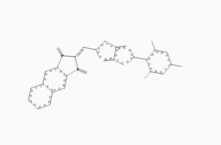 Cc1cc(C)c(-c2nc3sc(C=C4C(=O)c5cc6ccccc6cc5C4=O)cc3s2)c(C)c1